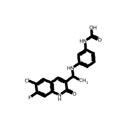 CC(Nc1cccc(NC(=O)O)c1)c1cc2cc(Cl)c(F)cc2[nH]c1=O